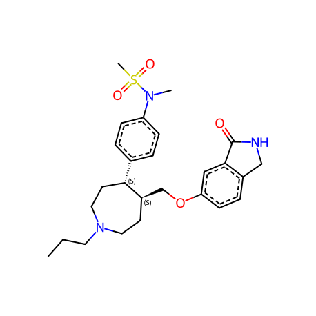 CCCN1CC[C@H](COc2ccc3c(c2)C(=O)NC3)[C@@H](c2ccc(N(C)S(C)(=O)=O)cc2)CC1